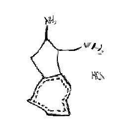 Cl.NC1Cc2ccccc2C1N